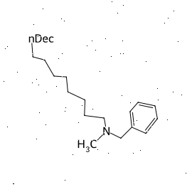 CCCCCCCCCCCCCCCCCCN(C)Cc1ccccc1